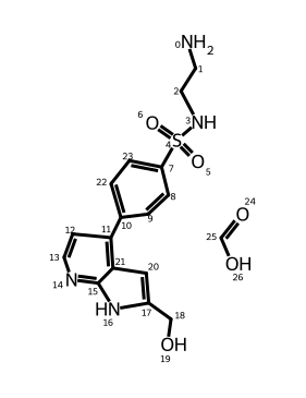 NCCNS(=O)(=O)c1ccc(-c2ccnc3[nH]c(CO)cc23)cc1.O=CO